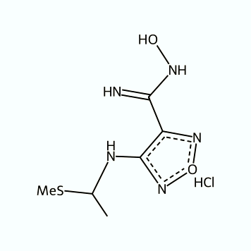 CSC(C)Nc1nonc1C(=N)NO.Cl